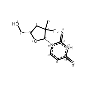 CC1(F)C[C@@H](CO)O[C@H]1n1ccc(=S)[nH]c1=S